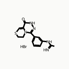 Br.CC(=N)Nc1cccc(C2=NNC(=O)C3=CSCCN32)c1